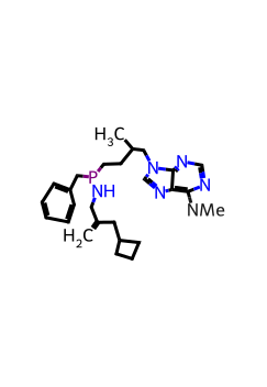 C=C(CNP(CCC(C)Cn1cnc2c(NC)ncnc21)Cc1ccccc1)CC1CCC1